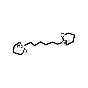 C(CCC[SiH]1CCCCO1)CC[SiH]1CCCCO1